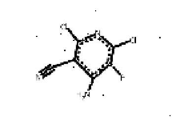 N#Cc1c(Cl)nc(Cl)c(F)c1N